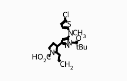 C=CCC1C(c2cc(N(C)c3ccc(Cl)s3)n(C(=O)C(C)(C)C)n2)CCN1C(=O)O